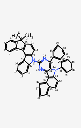 CC1(C)c2ccccc2-c2c1ccc1c2c2ccccc2n1-c1nc(-c2ccccc2)c2c(n1)c1c3ccccc3ccc1n2C1=CCCC=C1